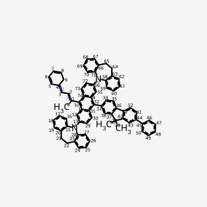 C/C(=C\C=C1\C=CC=CC1)c1c2cc(N3c4ccccc4CCc4ccccc43)ccc2c(-c2ccc3c(c2)C(C)(C)c2cc(-c4ccccc4)ccc2-3)c2cc(N3c4ccccc4CCc4ccccc43)ccc12